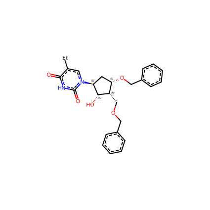 CCc1cn([C@H]2C[C@H](OCc3ccccc3)[C@H](COCc3ccccc3)[C@@H]2O)c(=O)[nH]c1=O